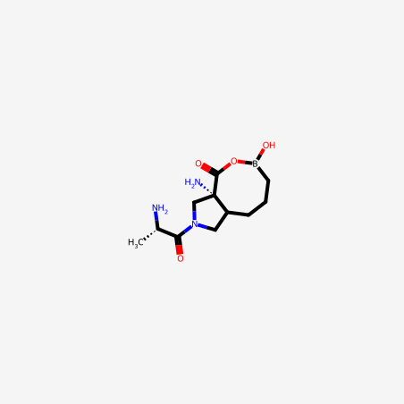 C[C@H](N)C(=O)N1CC2CCCB(O)OC(=O)[C@]2(N)C1